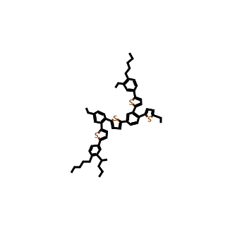 CCCCCc1ccc(-c2ccc(-c3cc(-c4ccc(-c5ccc(CC)cc5-c5ccc(-c6ccc(CCCCC)c(C(C)CCC)c6)s5)s4)ccc3-c3ccc(CC)s3)s2)cc1CC